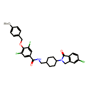 COc1ccc(COc2c(F)cc(C(=O)NCC3CCC(N4Cc5cc(Br)ccc5C4=O)CC3)cc2F)cc1